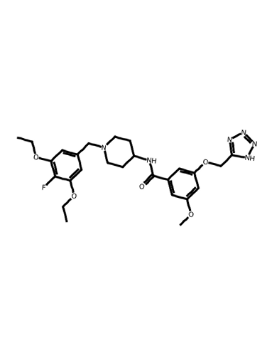 CCOc1cc(CN2CCC(NC(=O)c3cc(OC)cc(OCc4nnn[nH]4)c3)CC2)cc(OCC)c1F